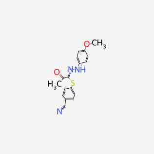 COc1ccc(NN=C(Sc2ccc(C#N)cc2)C(C)=O)cc1